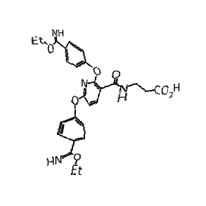 CCOC(=N)c1ccc(Oc2ccc(C(=O)NCCC(=O)O)c(Oc3ccc(C(=N)OCC)cc3)n2)cc1